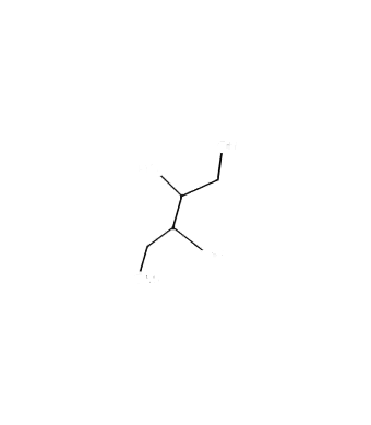 COCC(O)C(O)CO